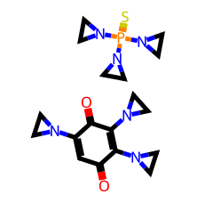 O=C1C=C(N2CC2)C(=O)C(N2CC2)=C1N1CC1.S=P(N1CC1)(N1CC1)N1CC1